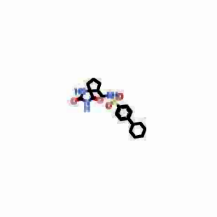 O=C1NC(=O)C2(CCCC2CNS(=O)(=O)c2ccc(C3CCCCC3)cc2)N1